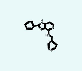 c1ccc(-c2nc3c(NCc4ccncc4)nccc3[nH]2)cc1